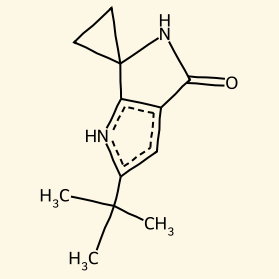 CC(C)(C)c1cc2c([nH]1)C1(CC1)NC2=O